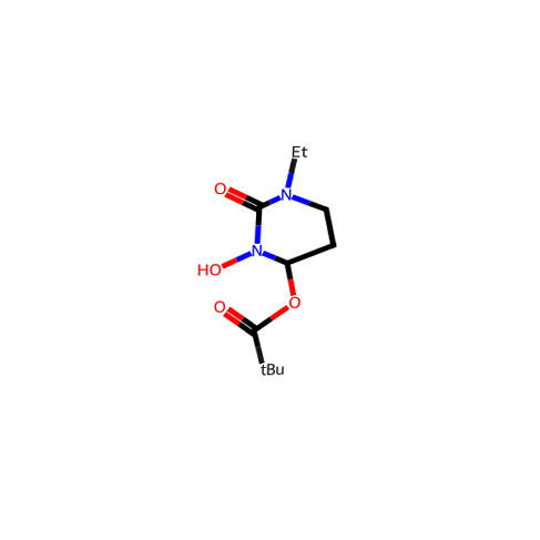 CCN1CCC(OC(=O)C(C)(C)C)N(O)C1=O